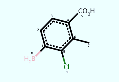 Bc1ccc(C(=O)O)c(C)c1Cl